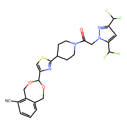 N#Cc1cccc2c1COC(c1csc(C3CCN(C(=O)Cn4nc(C(F)F)cc4C(F)F)CC3)n1)OC2